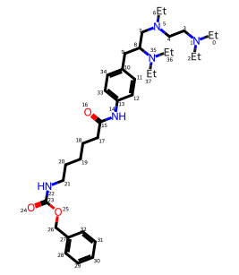 CCN(CC)CCN(CC)CC(Cc1ccc(NC(=O)CCCCCNC(=O)OCc2ccccc2)cc1)N(CC)CC